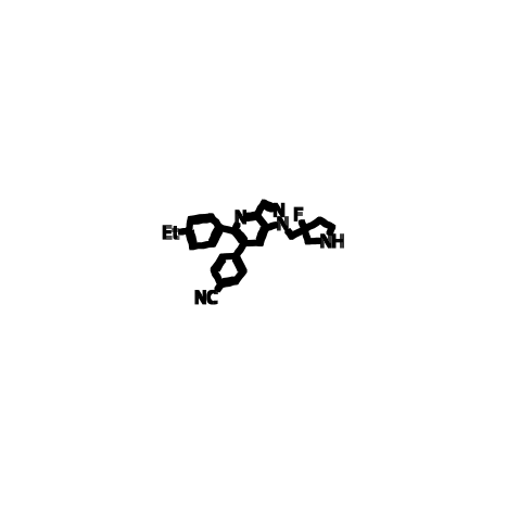 CCc1ccc(-c2nc3cnn(CC4(F)CCNC4)c3cc2-c2ccc(C#N)cc2)cc1